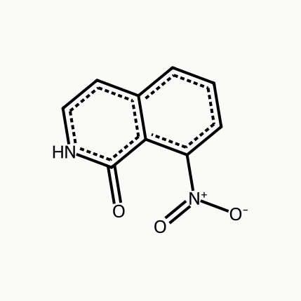 O=c1[nH]ccc2cccc([N+](=O)[O-])c12